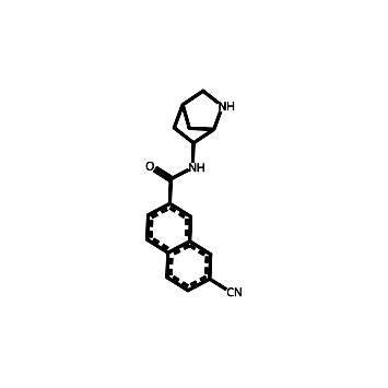 N#Cc1ccc2ccc(C(=O)NC3CC4CNC3C4)cc2c1